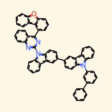 c1ccc(-c2cccc(-n3c4ccccc4c4cc(-c5ccc6c(c5)c5ccccc5n6-c5nc(-c6cccc7oc8ccccc8c67)c6ccccc6n5)ccc43)c2)cc1